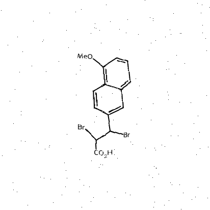 COc1cccc2cc(C(Br)C(Br)C(=O)O)ccc12